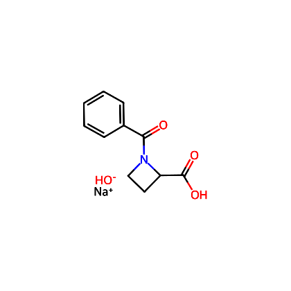 O=C(O)C1CCN1C(=O)c1ccccc1.[Na+].[OH-]